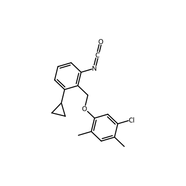 Cc1cc(C)c(OCc2c(N=C=O)cccc2C2CC2)cc1Cl